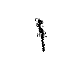 CCCCCOCCCCCNNC(=O)c1ccc(CNC(=O)c2cncc(Cl)c2)cc1